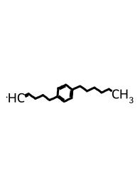 [CH]=CCCCc1ccc(CCCCCC)cc1